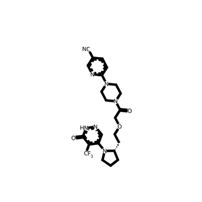 N#Cc1ccc(N2CCN(C(=O)COCC[C@@H]3CCCN3c3cn[nH]c(=O)c3C(F)(F)F)CC2)nc1